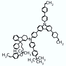 C=Cc1ccc(O[Si](C)(C)CCCC2(C3C=CC=CC3)C3=CC(N(C4=CCC(c5ccc6c(c5)c5c(n6C6C=CC(c7ccc(C=C)cc7)=CC6)=CCC(C6=CCC(C=C)CC6)C=5)C=C4)c4ccc(-c5ccc(C(C)(C)C)cc5)cc4)CCC3c3ccccc32)cc1